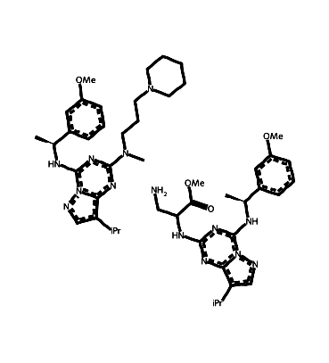 COC(=O)C(CN)Nc1nc(N[C@@H](C)c2cccc(OC)c2)n2ncc(C(C)C)c2n1.COc1cccc([C@H](C)Nc2nc(N(C)CCCN3CCCCC3)nc3c(C(C)C)cnn23)c1